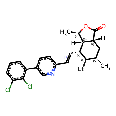 CC[C@H]1[C@H](/C=C/c2ccc(-c3cccc(Cl)c3Cl)cn2)[C@@H]2[C@@H](C)OC(=O)[C@@H]2C[C@@H]1C